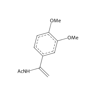 C=C(NC(C)=O)c1ccc(OC)c(OC)c1